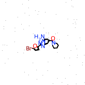 Nc1cc(C(=O)N2CCCCC2)cc2nc(-c3ccc(Br)o3)nn12